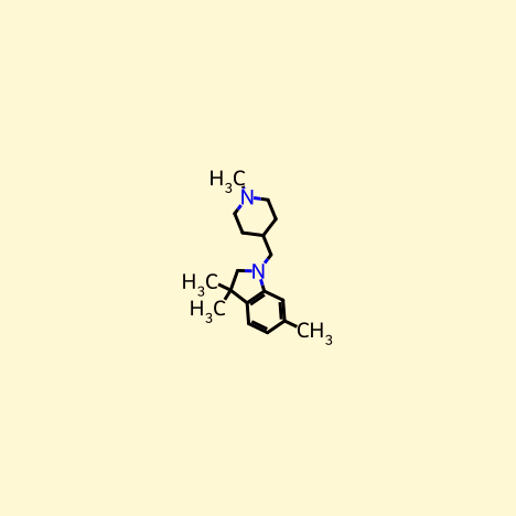 Cc1ccc2c(c1)N(CC1CCN(C)CC1)CC2(C)C